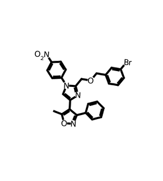 Cc1onc(-c2ccccc2)c1-c1cn(-c2ccc([N+](=O)[O-])cc2)c(COCc2cccc(Br)c2)n1